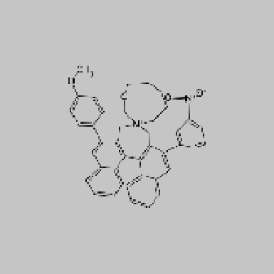 COc1ccc(-c2cc3ccccc3c3c2C[N+]2(CCCCCCC2)Cc2c(-c4cccc([N+](=O)[O-])c4)cc4ccccc4c2-3)cc1